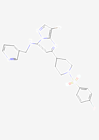 O=S(=O)(c1ccc(F)cc1)N1CCC(c2cc(NCc3cccnc3)n3ncc(Br)c3n2)CC1